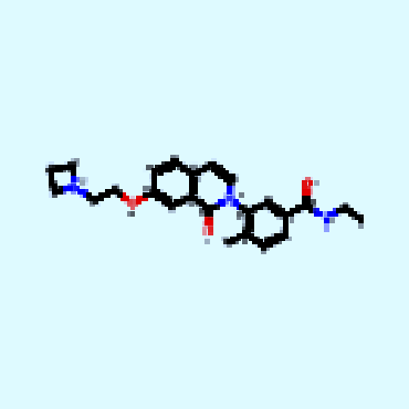 CCNC(=O)c1ccc(C)c(-n2ccc3ccc(OCCN4CCC4)cc3c2=O)c1